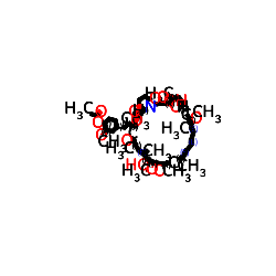 CCC(=O)O[C@@H]1CC[C@@H](C[C@@H](C)[C@@H]2CC(=O)[C@H](C)/C=C(\C)[C@@H](O)[C@@H](OC)C(=O)[C@H](C)C[C@H](C)/C=C/C=C/C=C(\C)[C@@H](OC)C[C@@H]3CC[C@@H](C)[C@@](O)(O3)C(=O)C(=O)N3CCCC[C@H]3C(=O)O2)C[C@H]1OC